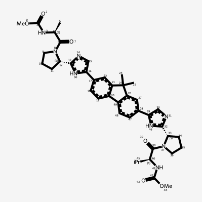 COC(=O)N[C@@H](C)C(=O)N1CCC[C@H]1c1ncc(-c2ccc3c(c2)C(C)(C)c2cc(-c4cnc([C@@H]5CCCN5C(=O)[C@@H](NC(=O)OC)C(C)C)[nH]4)ccc2-3)[nH]1